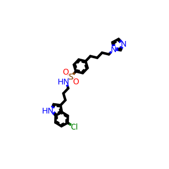 O=S(=O)(NCCCc1c[nH]c2ccc(Cl)cc12)c1ccc(CCCCn2ccnc2)cc1